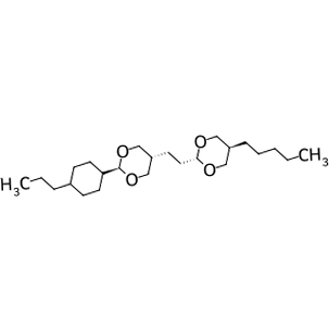 CCCCC[C@H]1CO[C@H](CC[C@H]2CO[C@H](C3CCC(CCC)CC3)OC2)OC1